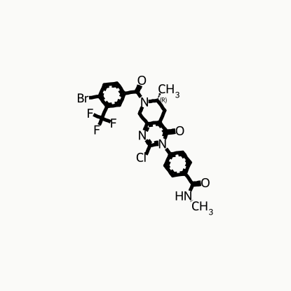 CNC(=O)c1ccc(-n2c(Cl)nc3c(c2=O)C[C@@H](C)N(C(=O)c2ccc(Br)c(C(F)(F)F)c2)C3)cc1